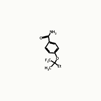 CCC(C)(Oc1ccc(C(N)=O)cc1)C(F)(F)F